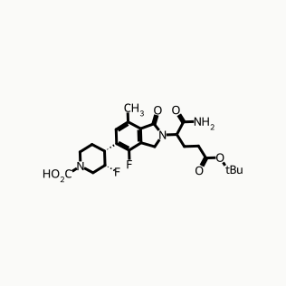 Cc1cc([C@H]2CCN(C(=O)O)C[C@H]2F)c(F)c2c1C(=O)N(C(CCC(=O)OC(C)(C)C)C(N)=O)C2